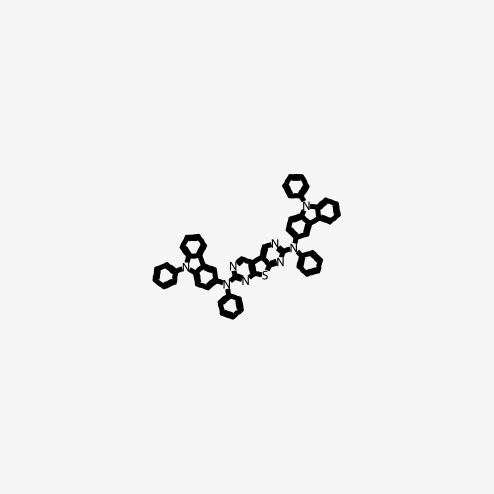 c1ccc(N(c2ccc3c(c2)c2ccccc2n3-c2ccccc2)c2ncc3c(n2)sc2nc(N(c4ccccc4)c4ccc5c(c4)c4ccccc4n5-c4ccccc4)ncc23)cc1